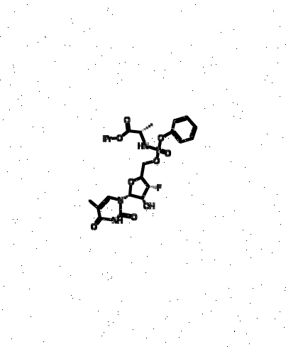 Cc1cn([C@@H]2OC(COP(=O)(N[C@@H](C)C(=O)OC(C)C)Oc3ccccc3)[C@H](F)[C@@H]2O)c(=O)[nH]c1=O